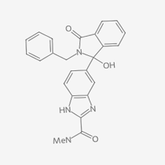 CNC(=O)c1nc2cc(C3(O)c4ccccc4C(=O)N3Cc3ccccc3)ccc2[nH]1